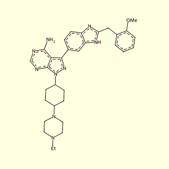 CCN1CCN(C2CCC(n3nc(-c4ccc5nc(Cc6ccccc6OC)[nH]c5c4)c4c(N)ncnc43)CC2)CC1